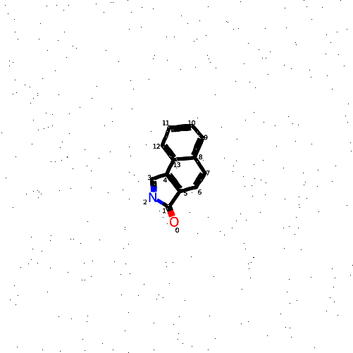 O=C1N=Cc2c1ccc1ccccc21